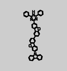 c1ccc(C2=NC(c3ccc4c(c3)oc3ccc(-c5ccc6oc7cc(-n8c9ccccc9c9ccccc98)ccc7c6c5)cc34)=NC(c3ccccc3)N2)cc1